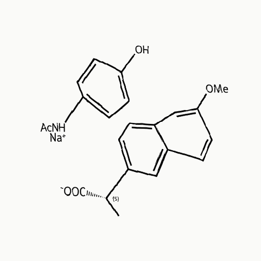 CC(=O)Nc1ccc(O)cc1.COc1ccc2cc([C@H](C)C(=O)[O-])ccc2c1.[Na+]